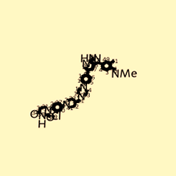 CNCc1ccc(-c2n[nH]c3ncc(-c4ccc(N5CCN(CC6CCN(c7ccc(N8CCC(=O)NC8=O)c(Cl)c7)CC6)CC5)cc4)cc23)cc1C